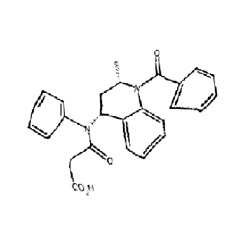 C[C@H]1C[C@@H](N(C(=O)CC(=O)O)c2ccccc2)c2ccccc2N1C(=O)c1ccccc1